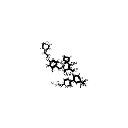 CSc1ccc(-c2cc(C(F)(F)I)ccc2NC(=O)C2=C(O)C3(CCCC3)N(C)N(Cc3ccc(OCCN4CCOCC4)c(F)c3F)C2=O)cn1